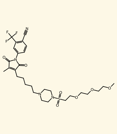 COCCOCCOCCS(=O)(=O)N1CCN(CCCCCC2=C(C)C(=O)N(c3ccc(C#N)c(C(F)(F)F)c3)C2=O)CC1